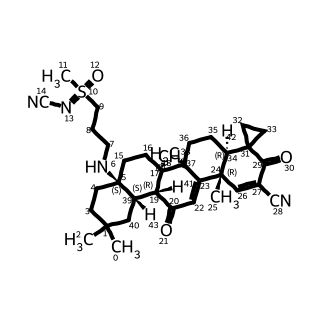 CC1(C)CC[C@]2(NCCCS(C)(=O)=NC#N)CC[C@]3(C)[C@H](C(=O)C=C4[C@@]5(C)C=C(C#N)C(=O)C6(CC6)[C@@H]5CC[C@]43C)[C@@H]2C1